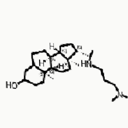 CC(NCCCN(C)C)[C@H]1CC[C@H]2[C@@H]3CCC4CC(O)CC[C@]4(C)[C@H]3CC[C@]12C